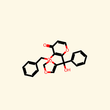 O=c1ccoc(C(O)(C2=COCO2)c2ccccc2)c1OCc1ccccc1